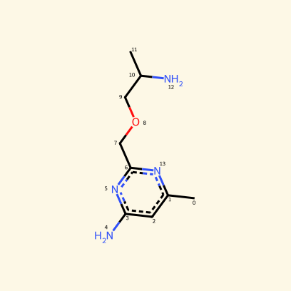 Cc1cc(N)nc(COCC(C)N)n1